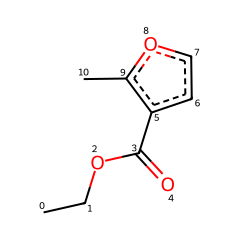 CCOC(=O)c1ccoc1C